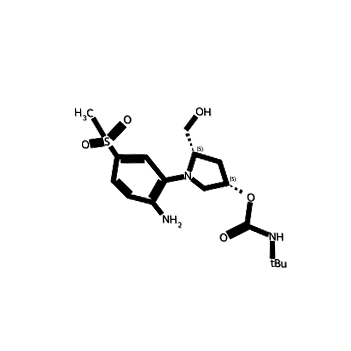 CC(C)(C)NC(=O)O[C@H]1C[C@@H](CO)N(c2cc(S(C)(=O)=O)ccc2N)C1